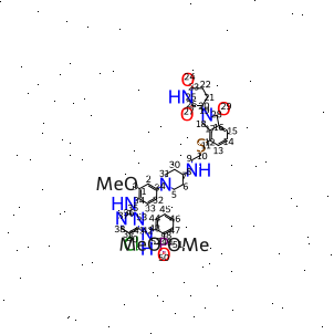 COc1cc(N2CCC(NCCSc3cccc4c3CN(C3CCC(=O)NC3=O)C4=O)CC2)ccc1Nc1ncc(Cl)c(Nc2ccccc2P(=O)(OC)OC)n1